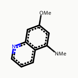 CNc1cc(OC)cc2ncccc12